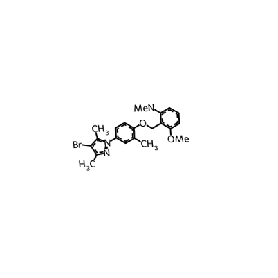 CNc1cccc(OC)c1COc1ccc(-n2nc(C)c(Br)c2C)cc1C